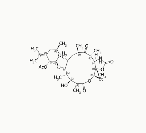 CC[C@H]1OC(=O)[C@H](C)[C@@H](O)[C@H](C)[C@H](O[C@@H]2O[C@H](C)C[C@H](N(C)C)[C@H]2OC(C)=O)[C](C)C[C@@H](C)C(=O)[C@H](C)[C@H]2NC(=O)O[C@@]21C